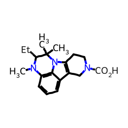 CCC1N(C)c2cccc3c4c(n(c23)C1(C)C)CCN(C(=O)O)C4